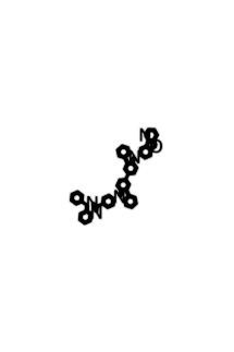 c1ccc(-c2nc(-c3ccc(-n4c5ccccc5c5cc(-c6ccc7c(c6)c6ccccc6n7-c6ccc7oc8cccnc8c7c6)ccc54)cc3)nc3ccccc23)cc1